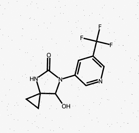 O=C1NC2(CC2)C(O)N1c1cncc(C(F)(F)F)c1